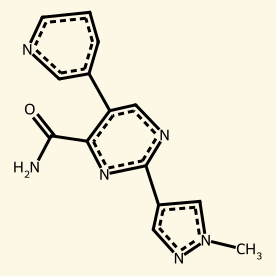 Cn1cc(-c2ncc(-c3cccnc3)c(C(N)=O)n2)cn1